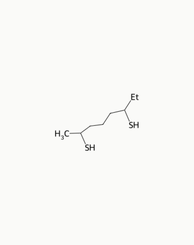 CCC(S)CCCC(C)S